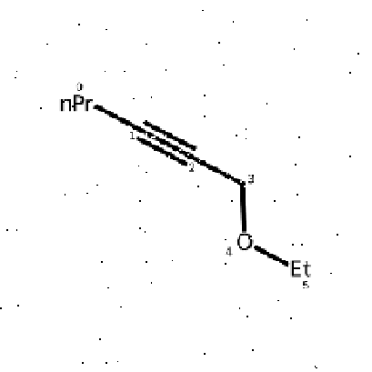 CCCC#CCOCC